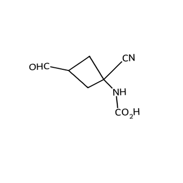 N#CC1(NC(=O)O)CC(C=O)C1